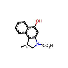 C[C@@H]1CN(C(=O)O)c2cc(O)c3ccccc3c21